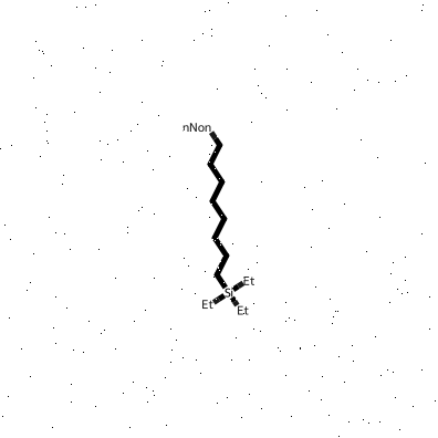 [CH2]CCCCCCCCCCCCCCCC[Si](CC)(CC)CC